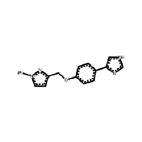 CC(C)n1ccc(COc2ccc(-c3c[nH]cn3)cc2)n1